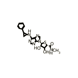 CNC(=O)[C@H]1S[C@@H](n2cnc3c(NC4CC4c4ccccc4)ncnc32)C(O)C1O